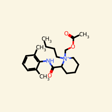 CCCC[N+]1(COC(C)=O)CCCCC1C(=O)Nc1c(C)cccc1C